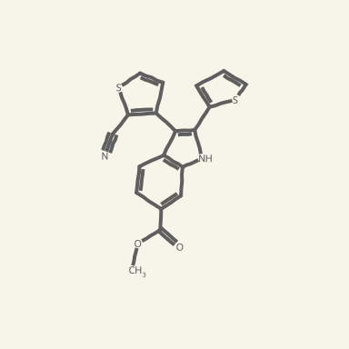 COC(=O)c1ccc2c(-c3ccsc3C#N)c(-c3cccs3)[nH]c2c1